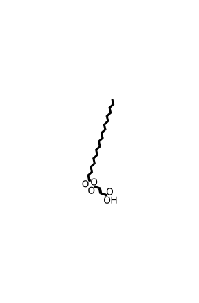 CCCCCCCCCCCCCCCCCCCC(=O)OC(=O)C=CC(=O)O